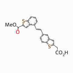 COC(=O)c1cc2c(C=Cc3ccc4sc(CC(=O)O)cc4c3)cccc2s1